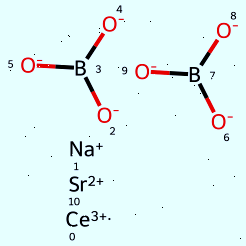 [Ce+3].[Na+].[O-]B([O-])[O-].[O-]B([O-])[O-].[Sr+2]